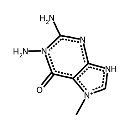 C[n+]1c[nH]c2nc(N)n(N)c(=O)c21